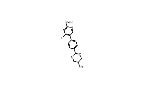 CCCCCc1ncc(-c2ccc(C3OCC(CCC)CO3)cc2)c(F)n1